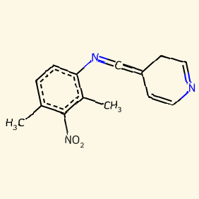 Cc1ccc(N=C=C2C=CN=CC2)c(C)c1[N+](=O)[O-]